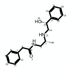 C[C@H](CNC(=O)Cc1ccccc1)NC[C@H](O)c1ccccc1